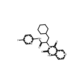 O=C(Nc1ccc(F)cn1)C(CC1CCCCC1)n1c(=O)[nH]c2ccncc2c1=O